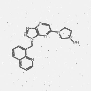 N[C@@H]1CCN(c2cnc3nnn(Cc4cccc5cccnc45)c3n2)C1